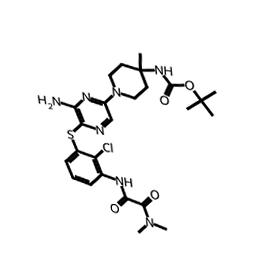 CN(C)C(=O)C(=O)Nc1cccc(Sc2ncc(N3CCC(C)(NC(=O)OC(C)(C)C)CC3)nc2N)c1Cl